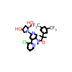 CN(C(=O)C(C)(C)c1cc(C(F)(F)F)cc(C(F)(F)F)c1)c1cnc(N2C[C@@H](O)C[C@H]2CO)cc1-c1ncccc1Cl